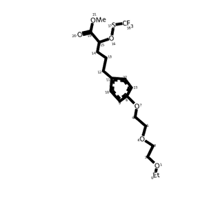 CCOCCOCCOc1ccc(CCCC(OSC(F)(F)F)C(=O)OC)cc1